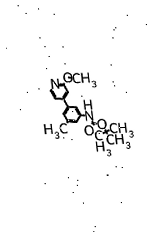 COc1cc(-c2cc(C)cc(NC(=O)OC(C)(C)C)c2)ccn1